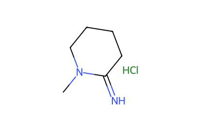 CN1CCCCC1=N.Cl